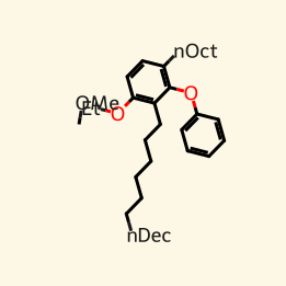 CCCCCCCCCCCCCCCCc1c(OCC)ccc(CCCCCCCC)c1Oc1ccccc1.COC